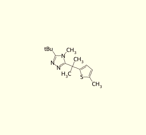 Cc1ccc(C(C)(C)c2nnc(C(C)(C)C)n2C)s1